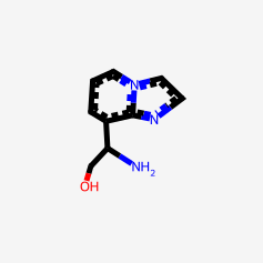 NC(CO)c1cccn2ccnc12